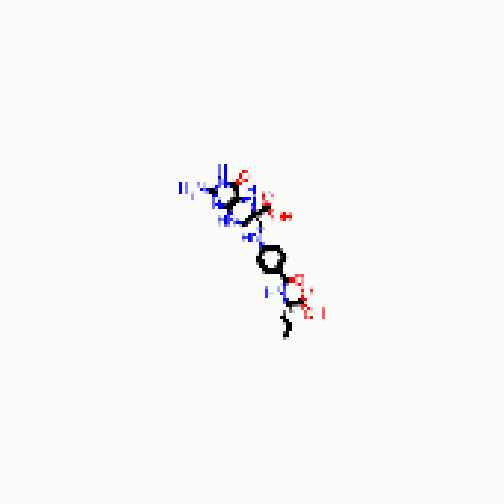 CCC[C@H](NC(=O)c1ccc(NC[C@]2(C(=O)O)CNc3nc(N)[nH]c(=O)c3N2)cc1)C(=O)O